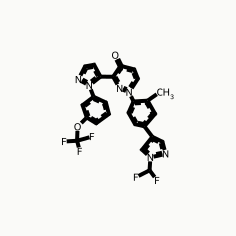 Cc1cc(-c2cnn(C(F)F)c2)ccc1-n1ccc(=O)c(-c2ccnn2-c2cccc(OC(F)(F)F)c2)n1